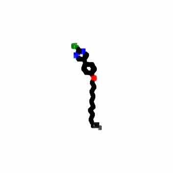 CCCCCCCCCCOc1ccc(-c2cnc(Cl)nc2)cc1